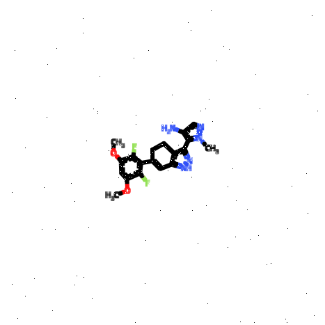 COc1cc(OC)c(F)c(C2=Cc3[nH]nc(-c4c(N)cnn4C)c3CC2)c1F